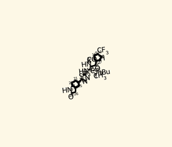 CC(C)(C)[Si](C)(C)O[C@@H](c1ccc(C(F)(F)F)cc1)[C@@H](CNc1nnc(-c2ccc3c(c2)CC(=O)N3)s1)NC(=O)O